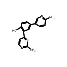 Nc1ccc(-c2ccc(O)c(-c3ccnc(N)n3)c2)cn1